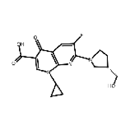 O=C(O)c1cn(C2CC2)c2nc(N3CC[C@H](CO)C3)c(F)cc2c1=O